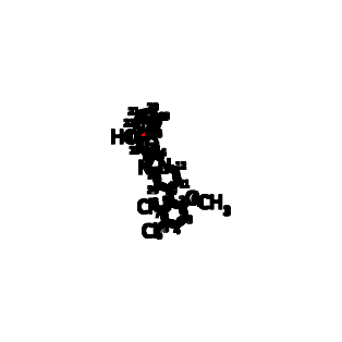 COc1ccc(Cl)c(Cl)c1-c1ccn2cc(CN3CC4CC(C3)N4C(=O)O)nc2c1